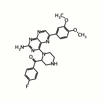 COc1ccc(-c2cnc3nc(N)nc(N4CCNCC4C(=O)c4ccc(F)cc4)c3n2)cc1OC